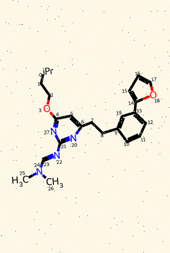 CC(C)CCOc1cc(CCc2cccc(-c3ccco3)c2)nc(N=CN(C)C)n1